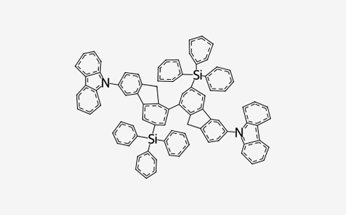 c1ccc([Si](c2ccccc2)(c2ccccc2)c2cc3c(c(-c4cc([Si](c5ccccc5)(c5ccccc5)c5ccccc5)cc5c4Cc4ccc(-n6c7ccccc7c7ccccc76)cc4-5)c2)Cc2ccc(-n4c5ccccc5c5ccccc54)cc2-3)cc1